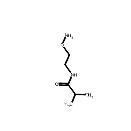 CC(C)C(=O)NCCON